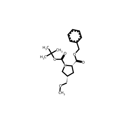 COC[C@H]1C[C@@H](C(=O)OCc2ccccc2)N(C(=O)OC(C)(C)C)C1